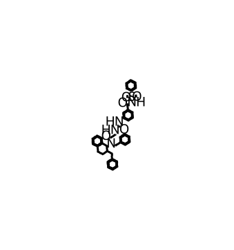 O=C(NCC(=O)N(Cc1ccccc1)C1c2ccccc2CCC1Cc1ccccc1)Nc1cccc(C(=O)NS(=O)(=O)c2ccccc2)c1